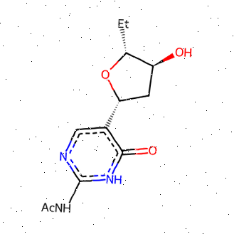 CC[C@H]1O[C@@H](c2cnc(NC(C)=O)[nH]c2=O)C[C@@H]1O